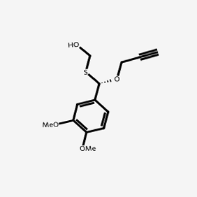 C#CCO[C@@H](SCO)c1ccc(OC)c(OC)c1